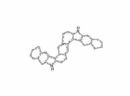 c1ccc2cc3c(cc2c1)[nH]c1ccc2cc4c(ccc5[nH]c6cc7ccccc7cc6c54)cc2c13